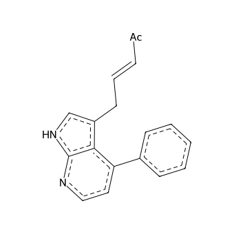 CC(=O)/C=C/Cc1c[nH]c2nccc(-c3ccccc3)c12